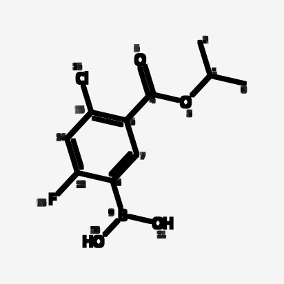 CC(C)OC(=O)c1cc(B(O)O)c(F)cc1Cl